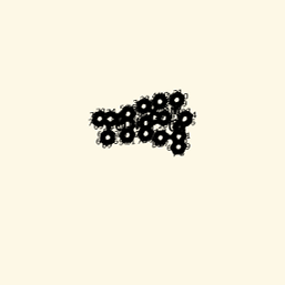 c1ccc(-c2c3ccccc3cc3c2oc2c(N(c4ccccc4)c4ccc5c(c4)C(c4ccccc4)(c4ccccc4)c4cc(N(c6ccccc6)c6cccc7c6oc6c(-c8ccccc8)c8ccccc8cc67)c6ccccc6c4-5)cccc23)cc1